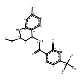 CC[C@@H]1CC(NC(=O)c2ccc(C(F)(F)F)[nH]c2=O)c2ccc(C)cc2N1